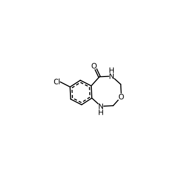 O=C1NCOCNc2ccc(Cl)cc21